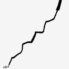 CCCCCCCCCCCCCCC#C[P]